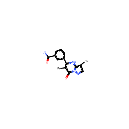 CC(C)c1c(-c2cccc(C(N)=O)c2)[nH]c2c(C#N)cnn2c1=O